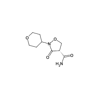 NC(=O)[C@H]1CON(C2CCOCC2)C1=O